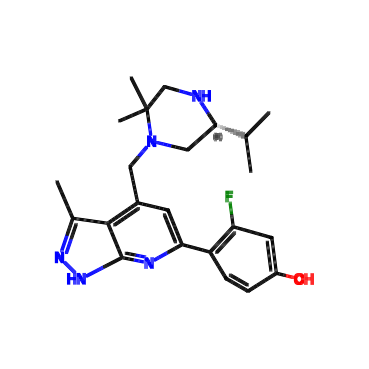 Cc1n[nH]c2nc(-c3ccc(O)cc3F)cc(CN3C[C@@H](C(C)C)NCC3(C)C)c12